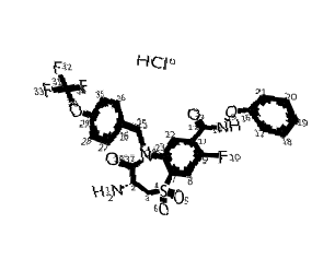 Cl.N[C@H]1CS(=O)(=O)c2cc(F)c(C(=O)NOc3ccccc3)cc2N(Cc2ccc(OC(F)(F)F)cc2)C1=O